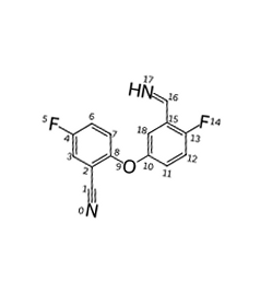 N#Cc1cc(F)ccc1Oc1ccc(F)c(C=N)c1